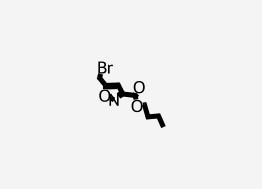 CCCCOC(=O)c1cc(CBr)on1